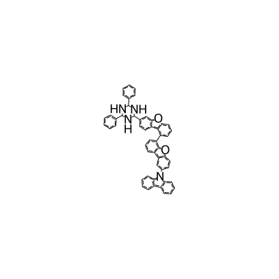 c1ccc(C2NC(c3ccccc3)NC(c3ccc4c(c3)oc3cccc(-c5cccc6c5oc5ccc(-n7c8ccccc8c8ccccc87)cc56)c34)N2)cc1